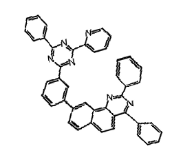 c1ccc(-c2nc(-c3cccc(-c4ccc5ccc6c(-c7ccccc7)nc(-c7ccccc7)nc6c5c4)c3)nc(-c3ccccn3)n2)cc1